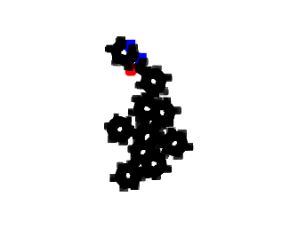 c1ccc(-c2c3cc4c5ccccc5c5cccc(c3c(-c3ccccc3)c3c6cccc7c(-c8cccc(-c9nc%10ncccc%10o9)c8)ccc(c23)c76)c54)cc1